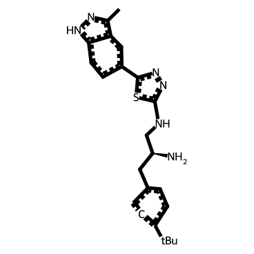 Cc1n[nH]c2ccc(-c3nnc(NC[C@@H](N)Cc4ccc(C(C)(C)C)cc4)s3)cc12